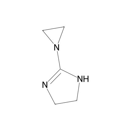 C1CNC(N2CC2)=N1